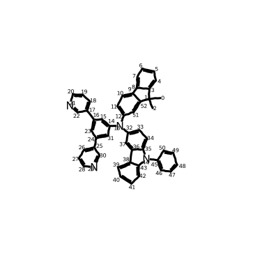 CC1(C)c2ccccc2-c2ccc(N(c3cc(-c4cccnc4)cc(-c4cccnc4)c3)c3ccc4c(c3)c3ccccc3n4-c3ccccc3)cc21